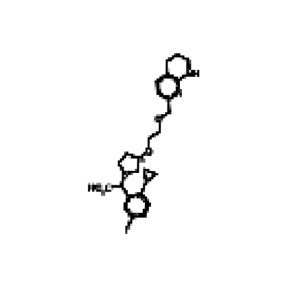 O=C(O)C(c1cc(F)ccc1C1CC1)N1CC[C@@H](OCCOCc2ccc3c(n2)NCCC3)C1